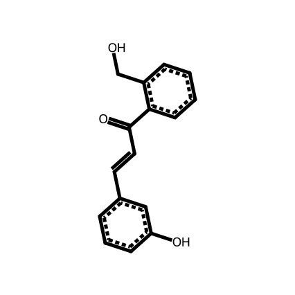 O=C(C=Cc1cccc(O)c1)c1ccccc1CO